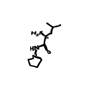 CC(C)C[C@H](N)C(=O)NN1CCCC1